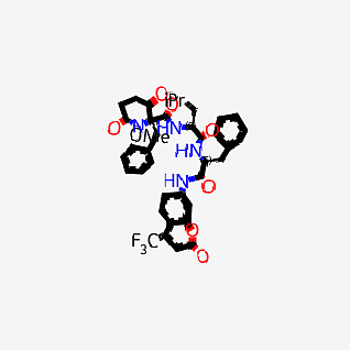 CON1C(=O)CCC(=O)[C@]1(Cc1ccccc1)C(=O)N[C@@H](CC(C)C)C(=O)N[C@@H](Cc1ccccc1)C(=O)Nc1ccc2c(C(F)(F)F)cc(=O)oc2c1